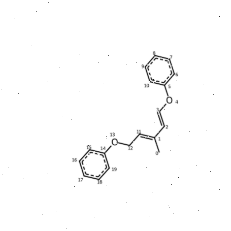 CC(C=COc1ccccc1)=CCOc1ccccc1